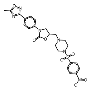 Cc1nc(-c2ccc(N3CC(CN4CCN(S(=O)(=O)c5ccc([N+](=O)[O-])cc5)CC4)OC3=O)cc2)no1